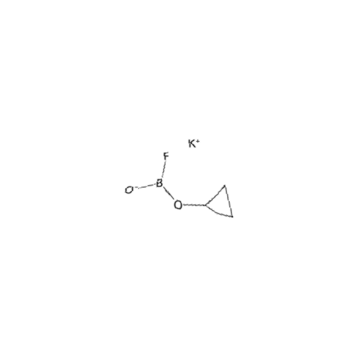 [K+].[O-]B(F)OC1CC1